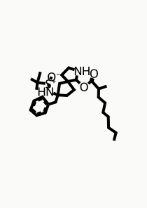 CCCCCCCC(C)C(=O)OC1NCCC12CCC(Cc1ccccc1)(N[S+]([O-])C(C)(C)C)C2